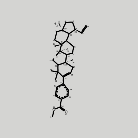 C=C[C@@H]1CC[C@]2(N)CC[C@]3(C)C(CCC4[C@@]5(C)CC=C(c6ccc(C(=O)OC)cc6)C(C)(C)C5CC[C@]43C)C12